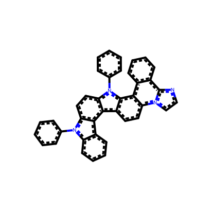 c1ccc(-n2c3ccccc3c3c4c5ccc6c(c7ccccc7c7nccn67)c5n(-c5ccccc5)c4ccc32)cc1